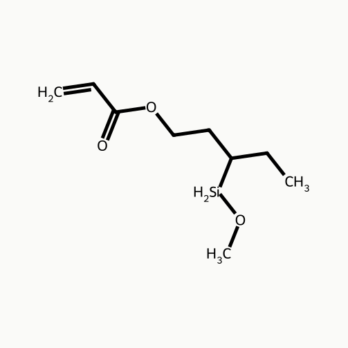 C=CC(=O)OCCC(CC)[SiH2]OC